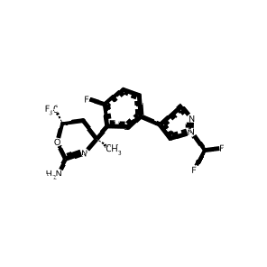 C[C@@]1(c2cc(-c3cnn(C(F)F)c3)ccc2F)C[C@@H](C(F)(F)F)OC(N)=N1